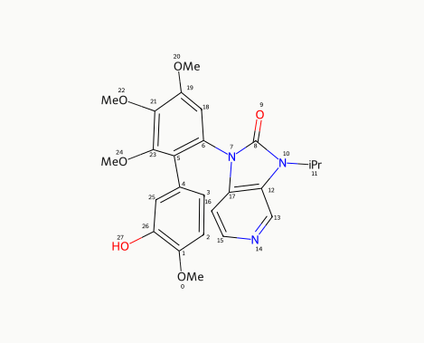 COc1ccc(-c2c(-n3c(=O)n(C(C)C)c4cnccc43)cc(OC)c(OC)c2OC)cc1O